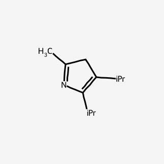 CC1=NC(C(C)C)=C(C(C)C)C1